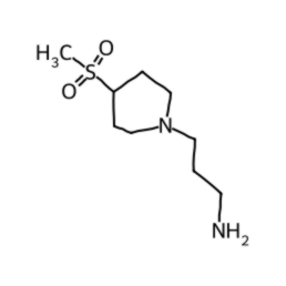 CS(=O)(=O)C1CCN(CCCN)CC1